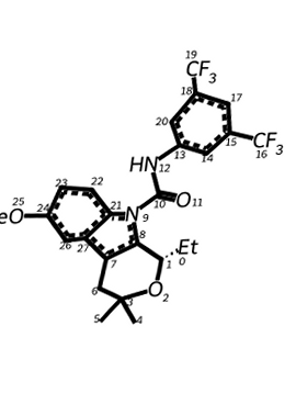 CC[C@@H]1OC(C)(C)Cc2c1n(C(=O)Nc1cc(C(F)(F)F)cc(C(F)(F)F)c1)c1ccc(OC)cc21